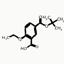 CCOc1ccc(C(=O)OC(C)(C)C)cc1C(=O)O